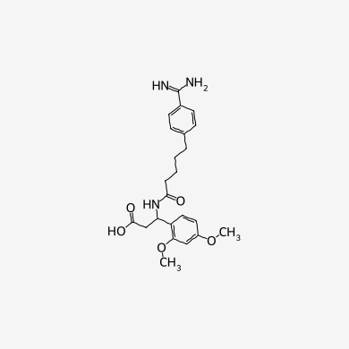 COc1ccc(C(CC(=O)O)NC(=O)CCCCc2ccc(C(=N)N)cc2)c(OC)c1